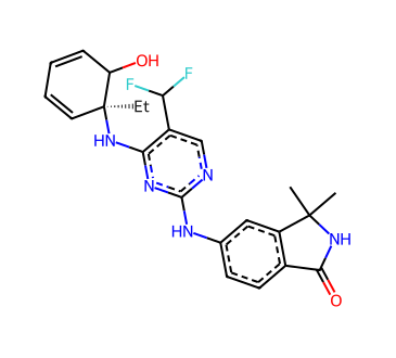 CC[C@]1(Nc2nc(Nc3ccc4c(c3)C(C)(C)NC4=O)ncc2C(F)F)C=CC=CC1O